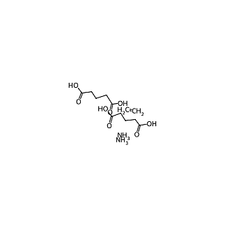 C=C.N.N.O=C(O)CCCC(=O)O.O=C(O)CCCC(=O)O